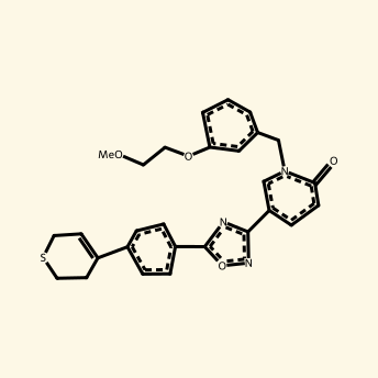 COCCOc1cccc(Cn2cc(-c3noc(-c4ccc(C5=CCSCC5)cc4)n3)ccc2=O)c1